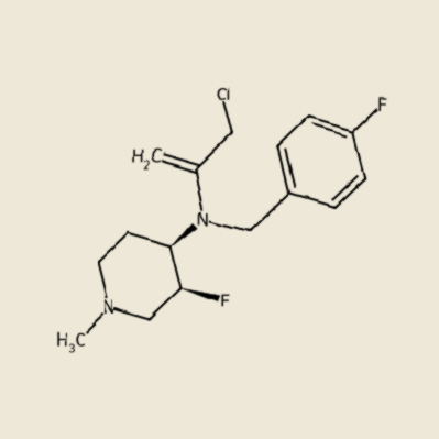 C=C(CCl)N(Cc1ccc(F)cc1)[C@@H]1CCN(C)C[C@@H]1F